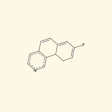 FC1=CCC2C(=C1)C=Cc1ccncc12